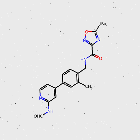 Cc1cc(-c2ccnc(NC=O)c2)ccc1CNC(=O)c1noc(C(C)(C)C)n1